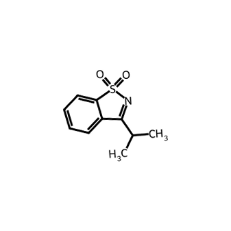 CC(C)C1=NS(=O)(=O)c2ccccc21